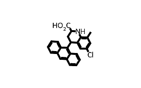 Cc1cc(Cl)cc2c1NC(C(=O)O)CC2c1c2ccccc2cc2ccccc12